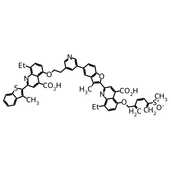 C=C(/C=C\C(=C)[S+](C)[O-])COc1ccc(CC)c2nc(-c3oc4ccc(-c5cncc(CCOc6ccc(CC)c7nc(-c8sc9ccccc9c8C)cc(C(=O)O)c67)c5)cc4c3C)cc(C(=O)O)c12